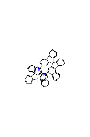 c1ccc(N(c2ccccc2)c2ccc3c(c2)C2(c4ccccc4-3)c3ccccc3-c3c2cc(N(c2ccccc2)c2cccc4c2sc2ccccc24)c2ccccc32)cc1